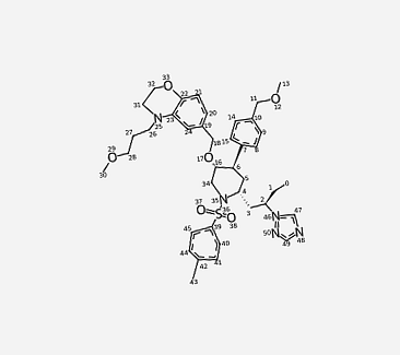 CC[C@H](C[C@H]1C[C@H](c2ccc(COC)cc2)[C@@H](OCc2ccc3c(c2)N(CCCOC)CCO3)CN1S(=O)(=O)c1ccc(C)cc1)n1cncn1